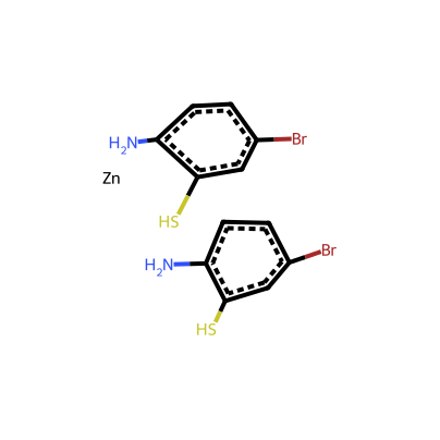 Nc1ccc(Br)cc1S.Nc1ccc(Br)cc1S.[Zn]